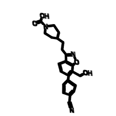 N#Cc1ccc(-c2ccc3c(CCC4CCN(C(=O)O)CC4)noc3c2CO)cc1